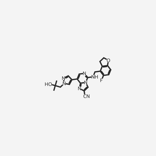 CC(C)(O)Cn1cc(-c2cnc(NCc3c(F)ccc4c3CCO4)n3cc(C#N)nc23)cn1